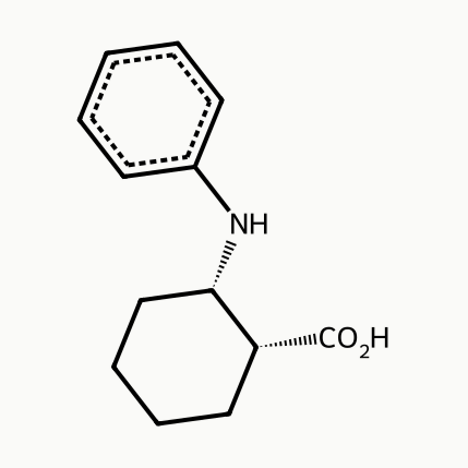 O=C(O)[C@@H]1CCCC[C@@H]1Nc1ccccc1